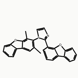 Cc1cc2c(oc3ccccc32)c(C)c1-n1ccnc1-c1cccc2c1oc1ccccc12